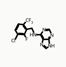 Fc1c(Cl)ccc(C(F)(F)F)c1CNc1ncnc2[nH]cnc12